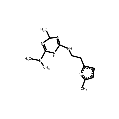 Cc1ccc(CCNC2=NC(C)N=C(N(C)C)N2)s1